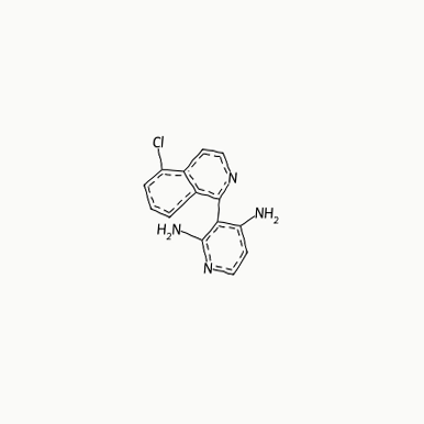 Nc1ccnc(N)c1-c1nccc2c(Cl)cccc12